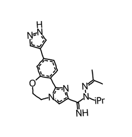 CC(C)=NN(C(=N)c1cn2c(n1)-c1ccc(-c3cn[nH]c3)cc1OCC2)C(C)C